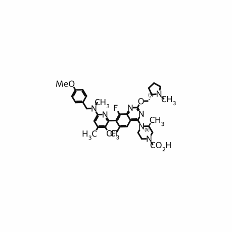 COc1ccc(CN(C)c2cc(C)c(C(F)(F)F)c(-c3c(Cl)cc4c(N5CCN(C(=O)O)C[C@@H]5C)nc(OC[C@@H]5CCCN5C)nc4c3F)n2)cc1